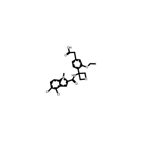 Cn1c(C(=O)NC2(c3ccc(CC(=O)O)cc3OCI)COC2)cc2c(Cl)c(Cl)ccc21